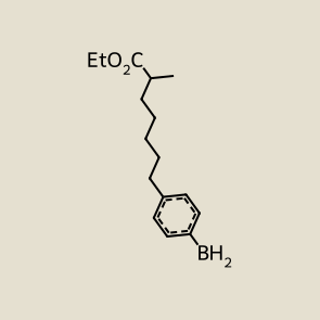 Bc1ccc(CCCCCC(C)C(=O)OCC)cc1